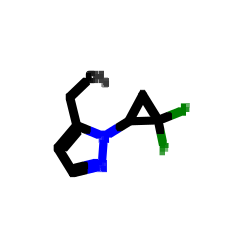 CCc1ccnn1C1CC1(F)F